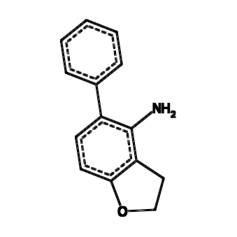 Nc1c(-c2ccccc2)ccc2c1CCO2